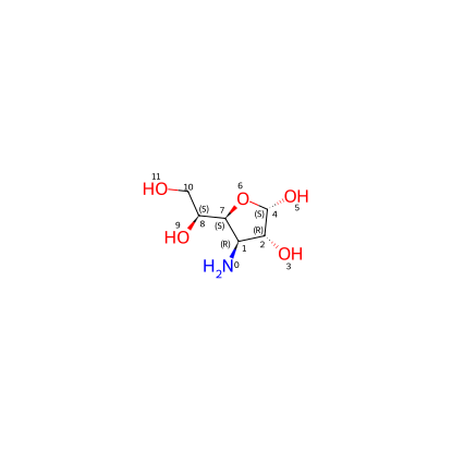 N[C@@H]1[C@@H](O)[C@@H](O)O[C@@H]1[C@@H](O)CO